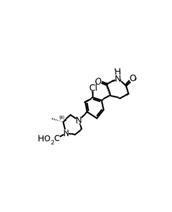 C[C@@H]1CN(c2ccc(C3CCC(=O)NC3=O)c(Cl)c2)CCN1C(=O)O